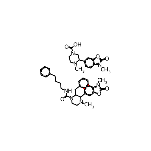 CN1CCN(C(=O)NCCCCc2ccccc2)C(Cc2ccccc2)C1c1ccc2c(c1)oc(=O)n2C.CN1CCN(C(=O)O)CC1c1ccc2c(c1)oc(=O)n2C